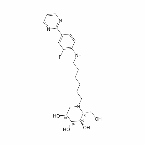 OC[C@@H]1[C@@H](O)[C@H](O)[C@@H](O)CN1CCCCCCNc1ccc(-c2ncccn2)cc1F